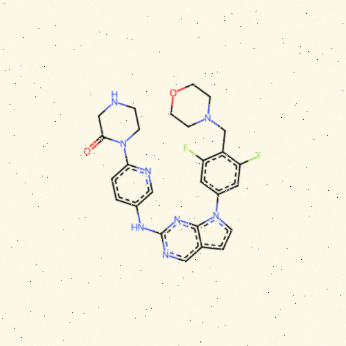 O=C1CNCCN1c1ccc(Nc2ncc3ccn(-c4cc(F)c(CN5CCOCC5)c(F)c4)c3n2)cn1